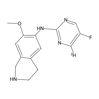 [2H]c1nc(Nc2cc3c(cc2OC)CNCC3)ncc1F